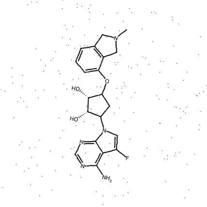 CN1Cc2cccc(OC3CC(n4cc(F)c5c(N)ncnc54)[C@H](O)[C@@H]3O)c2C1